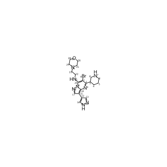 Brc1c(C2CCCNC2)nc2c(-c3cn[nH]c3)cnn2c1NCCN1CCOCC1